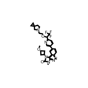 COC1CC(n2c(=O)n(C)c3nnc4ccc(-c5ccc(C(OCCN6CCC7(CC7)C6)C(F)(F)F)nc5)cc4c32)C1